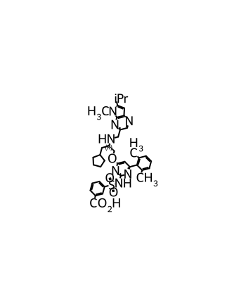 Cc1cccc(C)c1-c1cc(OC[C@@H](CC2CCCC2)NCc2cnc3cc(C(C)C)n(C)c3n2)nc(NS(=O)(=O)c2cccc(C(=O)O)c2)n1